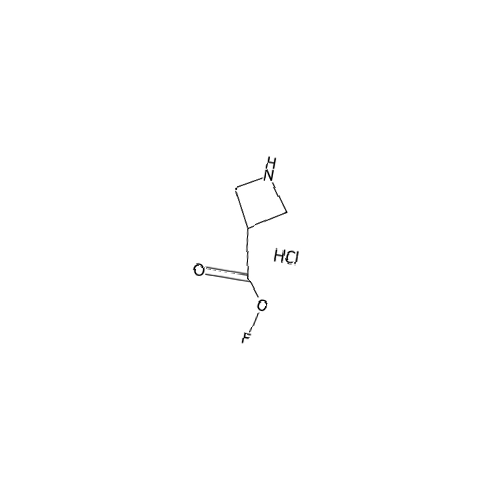 Cl.O=C(OF)C1CNC1